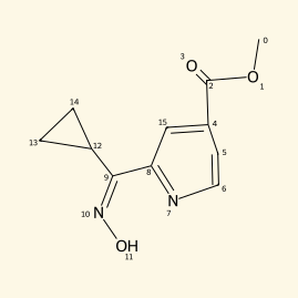 COC(=O)c1ccnc(/C(=N\O)C2CC2)c1